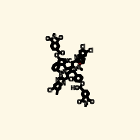 CB(c1ccccc1)n1c(-c2ccc(OC(O)c3ccc4c(c3)C(=O)N(C)C4=O)cc2)c2/c(=C(\C#N)c3cnc4cc(Cl)c(C)cc4n3)n(Bc3ccccc3)c(-c3ccc(OC(=O)c4ccc5c(c4)C(=O)N(C)C5=O)cc3)c2/c1=C(\C#N)c1cnc2cc(Cl)c(Cl)cc2n1